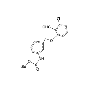 CC(C)(C)OC(=O)Nc1cccc(COc2cccc(Cl)c2C=O)c1